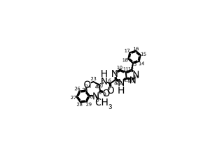 CN1C(=O)[C@@H](NC(=O)c2ncc3c(-c4ccccc4)nnc-3[nH]2)COc2ccccc21